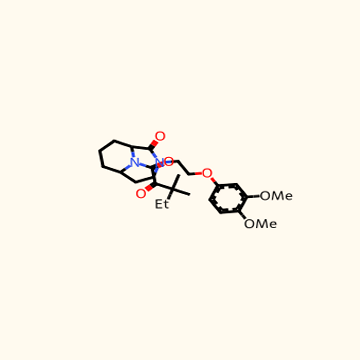 CCC(C)(C)C(=O)C(=O)N1C2CCCC1C(=O)N(CCOc1ccc(OC)c(OC)c1)CC2